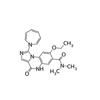 CCOc1cc2c(cc1C(=O)N(C)C)[nH]c(=O)c1cnc(N3C=CC=CC=C3)n12